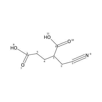 N#CCC(CCC(=O)O)C(=O)O